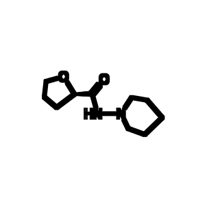 O=C(NN1CCCCC1)[C@H]1CCCO1